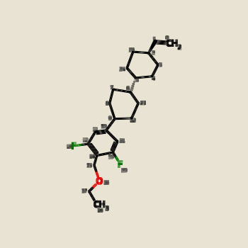 C=C[C@H]1CC[C@H](C2CCC(c3cc(F)c(COCC)c(F)c3)CC2)CC1